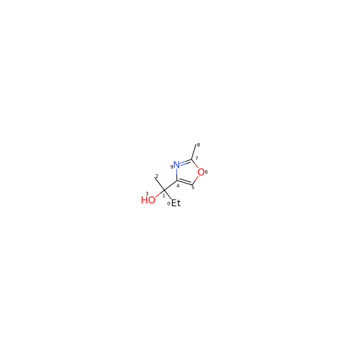 CCC(C)(O)c1coc(C)n1